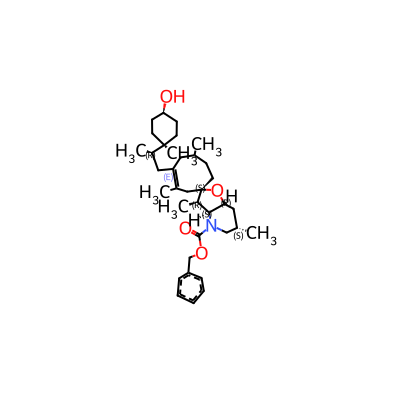 C/C1=C(\C[C@@H](C)[C@]2(C)CC[C@@H](O)CC2)CC(C)CC[C@@]2(C1)O[C@@H]1C[C@H](C)CN(C(=O)OCc3ccccc3)[C@H]1[C@H]2C